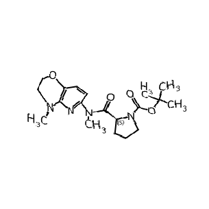 CN1CCOc2ccc(N(C)C(=O)[C@@H]3CCCN3C(=O)OC(C)(C)C)nc21